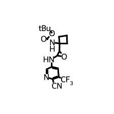 CC(C)(C)OC(=O)NC1(C2OC2Nc2cnc(C#N)c(C(F)(F)F)c2)CCC1